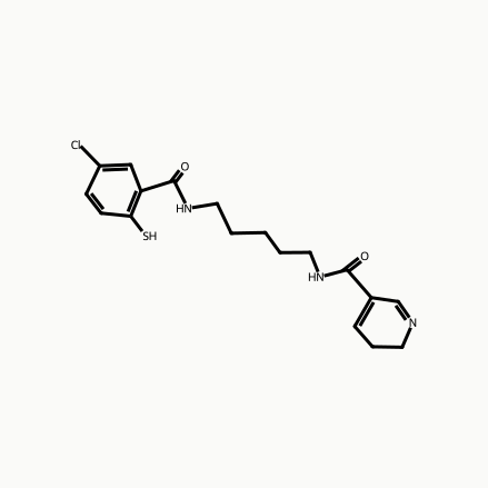 O=C(NCCCCCNC(=O)c1cc(Cl)ccc1S)C1=CCCN=C1